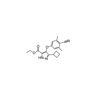 CCOC(=O)c1[nH]nc(C2CCC2)c1Oc1cc(C)c(C#N)c(C)c1